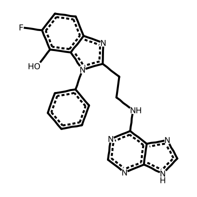 Oc1c(F)ccc2nc(CCNc3ncnc4[nH]cnc34)n(-c3ccccc3)c12